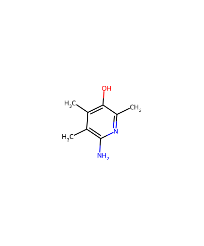 Cc1nc(N)c(C)c(C)c1O